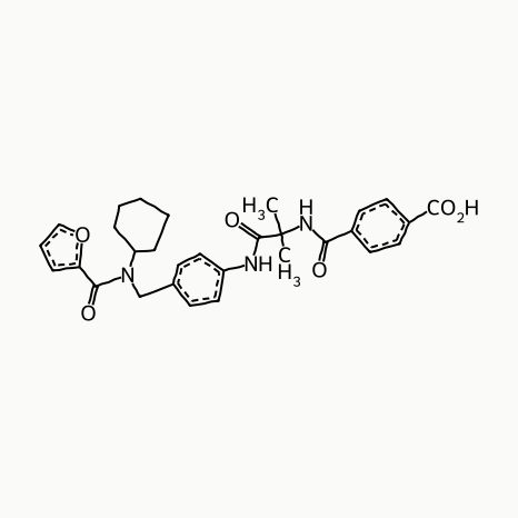 CC(C)(NC(=O)c1ccc(C(=O)O)cc1)C(=O)Nc1ccc(CN(C(=O)c2ccco2)C2CCCCC2)cc1